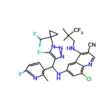 Cc1nc(F)ccc1C(Nc1cc(Cl)c2ncc(C#N)c(NCC(C)(C)C(F)(F)F)c2c1)c1nnn(C2(C(F)F)CC2)c1F